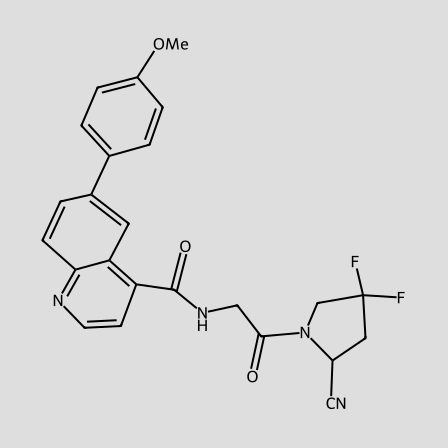 COc1ccc(-c2ccc3nccc(C(=O)NCC(=O)N4CC(F)(F)CC4C#N)c3c2)cc1